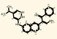 CC(C)C1=CNNC(Nc2ccc3ncc(/C(=C/N)C(=N)c4cccnc4)cc3n2)=C1